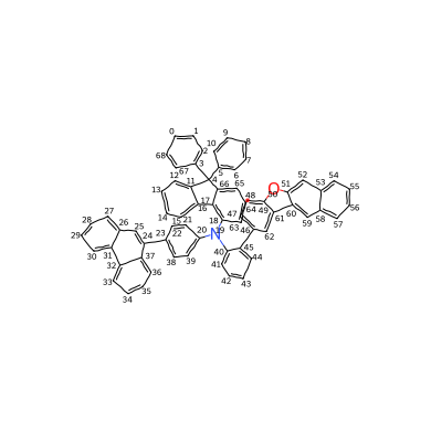 c1ccc(C2(c3ccccc3)c3ccccc3-c3c(N(c4ccc(-c5cc6ccccc6c6ccccc56)cc4)c4ccccc4-c4ccc5oc6cc7ccccc7cc6c5c4)cccc32)cc1